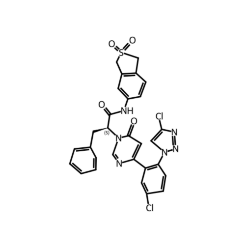 O=C(Nc1ccc2c(c1)CS(=O)(=O)C2)[C@H](Cc1ccccc1)n1cnc(-c2cc(Cl)ccc2-n2cc(Cl)nn2)cc1=O